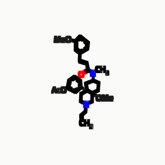 C=CCN1CC[C@@]2(c3cccc(OC(C)=O)c3)C[C@H](N(C)C(=O)C=Cc3cccc(OC)c3)CC[C@]2(OC)C1